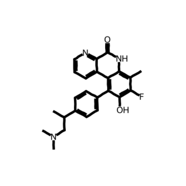 Cc1c(F)c(O)c(-c2ccc(C(C)CN(C)C)cc2)c2c1[nH]c(=O)c1ncccc12